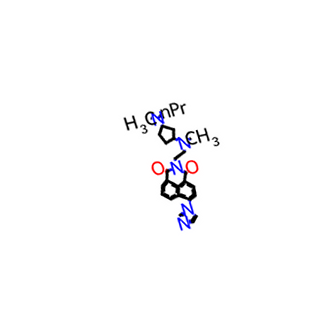 CCCN(C)C1CCC(N(C)CCN2C(=O)c3cccc4c(-n5ccnc5)ccc(c34)C2=O)C1